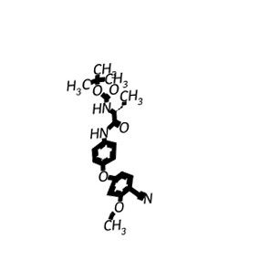 CCOc1cc(Oc2ccc(NC(=O)[C@@H](CC)NC(=O)OC(C)(C)C)cc2)ccc1C#N